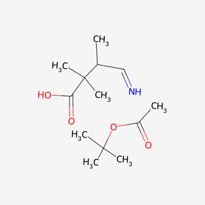 CC(=O)OC(C)(C)C.CC(C=N)C(C)(C)C(=O)O